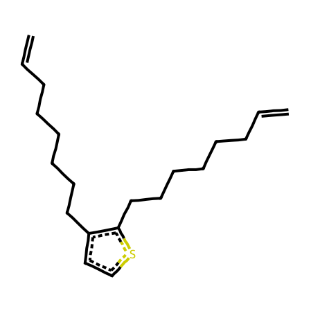 C=CCCCCCCc1ccsc1CCCCCCC=C